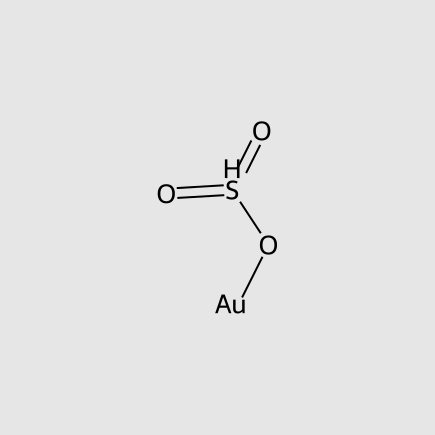 O=[SH](=O)[O][Au]